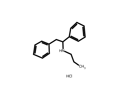 CCCNC(Cc1ccccc1)c1ccccc1.Cl